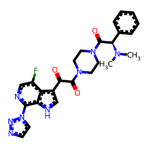 CN(C)[C@@H](C(=O)N1CCN(C(=O)C(=O)c2c[nH]c3c(-n4ccnn4)ncc(F)c23)CC1)c1ccccc1